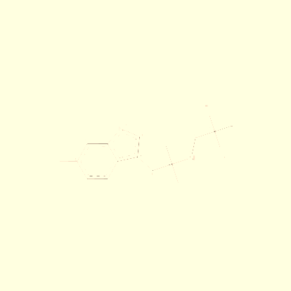 CC(C)(Cc1c[nH]c2cc(F)ccc12)NCC(F)(F)F